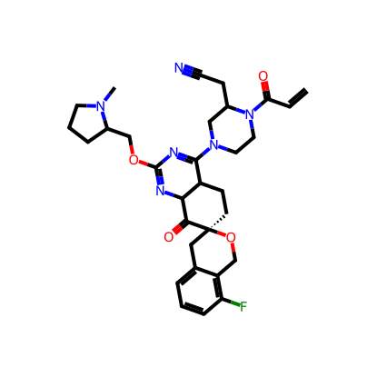 C=CC(=O)N1CCN(C2=NC(OCC3CCCN3C)=NC3C(=O)[C@]4(CCC23)Cc2cccc(F)c2CO4)CC1CC#N